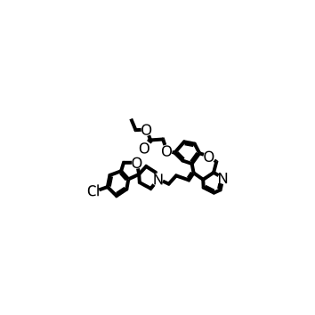 CCOC(=O)COc1ccc2c(c1)C(=CCCN1CCC3(CC1)OCc1cc(Cl)ccc13)C1C=CC=NC1CO2